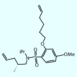 C=CCCCCOc1cc(OC)ccc1S(=O)(=O)N(C[C@H](C)CC=C)C(C)C